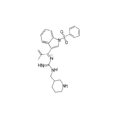 C=C(C)/C(=N\C(=N)NCC1CCCNC1)c1cn(S(=O)(=O)c2ccccc2)c2ccccc12